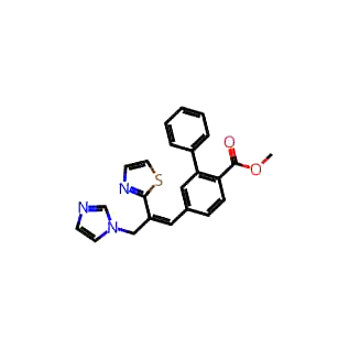 COC(=O)c1ccc(C=C(Cn2ccnc2)c2nccs2)cc1-c1ccccc1